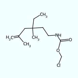 C=C(C)CC(C)(CC)CCNC(=O)OCCl